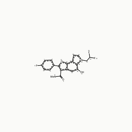 CNC(=O)c1c(-c2ccc(F)cc2)oc2c1cc(O)c1c2ccn1CC(F)F